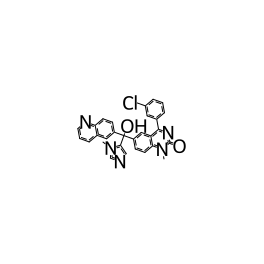 Cn1cncc1C(O)(c1ccc2ncccc2c1)c1ccc2c(c1)c(-c1cccc(Cl)c1)nc(=O)n2C